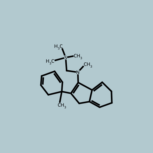 CN(CS(C)(C)C)C1=C(C2(C)C=CC=CC2)CC2=CCCC=C21